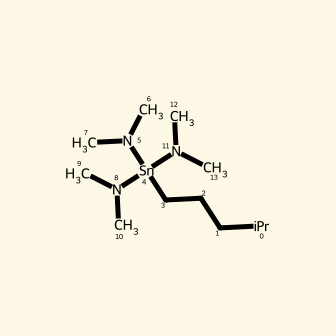 CC(C)CC[CH2][Sn]([N](C)C)([N](C)C)[N](C)C